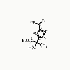 CCOC(=O)C(C)(C)c1nnc(C(F)F)o1